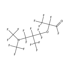 O=C(F)C(F)(OC(F)(F)C(F)(C(F)(F)F)C(F)(F)N(C(F)(F)F)C(F)(F)F)C(F)(F)F